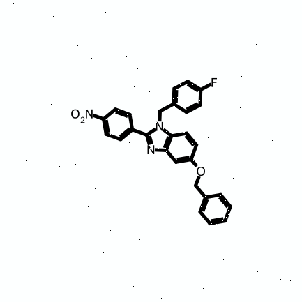 O=[N+]([O-])c1ccc(-c2nc3cc(OCc4ccccc4)ccc3n2Cc2ccc(F)cc2)cc1